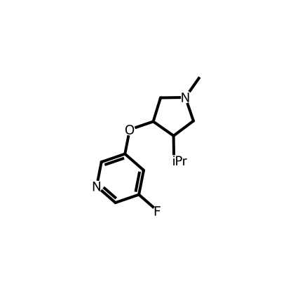 CC(C)C1CN(C)CC1Oc1cncc(F)c1